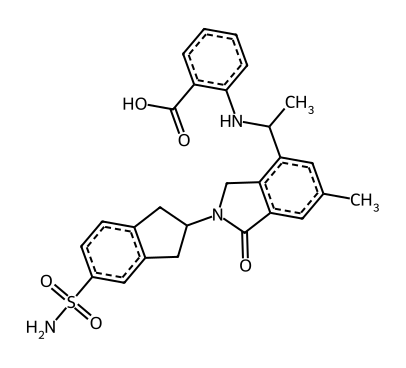 Cc1cc2c(c(C(C)Nc3ccccc3C(=O)O)c1)CN(C1Cc3ccc(S(N)(=O)=O)cc3C1)C2=O